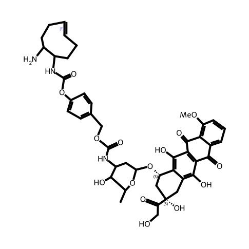 COc1cccc2c1C(=O)c1c(O)c3c(c(O)c1C2=O)C[C@@](O)(C(=O)CO)C[C@@H]3OC1CC(NC(=O)OCc2ccc(OC(=O)NC3CC/C=C/CCC3N)cc2)C(O)C(C)O1